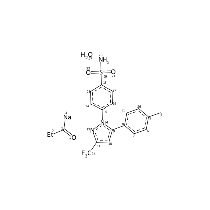 CC[C](=O)[Na].Cc1ccc(-c2cc(C(F)(F)F)nn2-c2ccc(S(N)(=O)=O)cc2)cc1.O